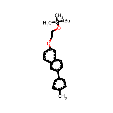 Cc1ccc(-c2ccc3cc(OCCO[Si](C)(C)C(C)(C)C)ccc3c2)cc1